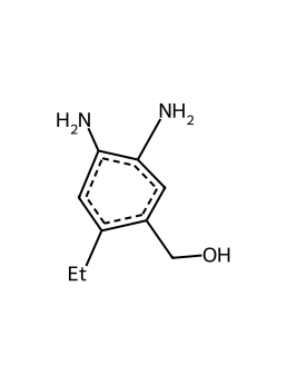 CCc1cc(N)c(N)cc1CO